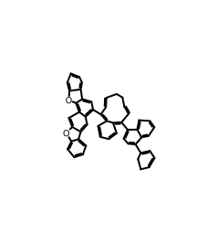 C1=CCCC(c2ccc(C3=c4\cccc\c4=C(c4cc5c6ccccc6oc5c5cc6oc7ccccc7c6cc45)\C=C\CC\C=C\3)c3ccccc23)=C1